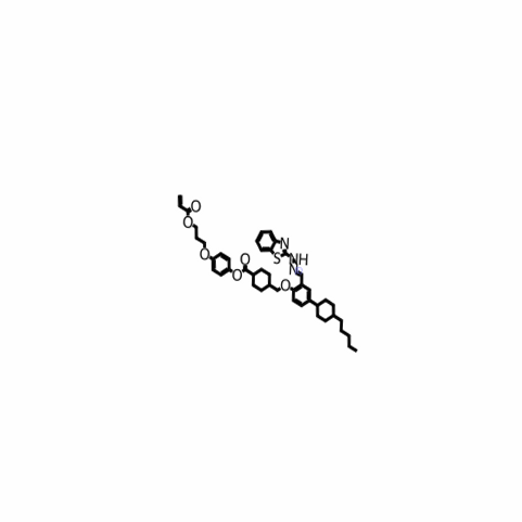 C=CC(=O)OCCCOc1ccc(OC(=O)C2CCC(COc3ccc(C4CCC(CCCCC)CC4)cc3/C=N/Nc3nc4ccccc4s3)CC2)cc1